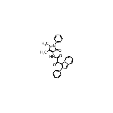 Cc1c(NC(=O)C(=O)c2c(-c3ccccc3)cc3ccccn23)c(=O)n(-c2ccccc2)n1C